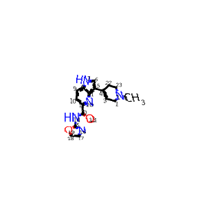 CN1CC=C(c2c[nH]c3ccc(C(=O)Nc4ncco4)nc23)CC1